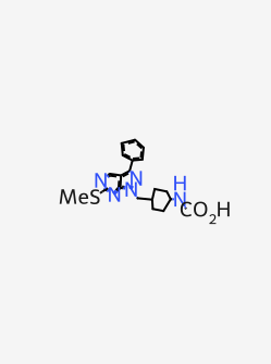 CSc1ncc2c(-c3ccccc3)nn(CC3CCC(NC(=O)O)CC3)c2n1